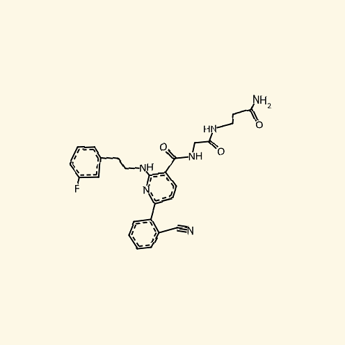 N#Cc1ccccc1-c1ccc(C(=O)NCC(=O)NCCC(N)=O)c(NCCc2cccc(F)c2)n1